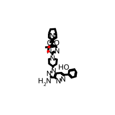 CC(C)(C)OC(=O)N1C2C=C(c3cnc(N4CCC(n5nc(N)c6nnc(-c7ccccc7O)cc65)CC4)nc3)CC1CC2